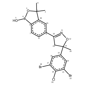 CC1(C)OB(O)c2ccc(C3=NOC(C)(c4cc(Br)c(Cl)c(Br)c4)C3)cc21